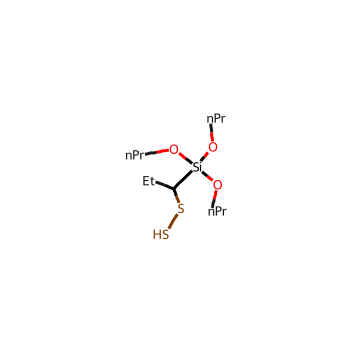 CCCO[Si](OCCC)(OCCC)C(CC)SS